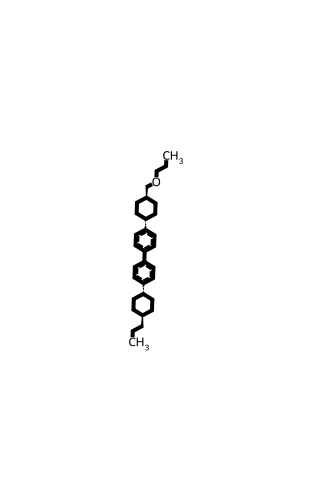 CCCOC[C@H]1CC[C@H](c2ccc(-c3ccc([C@H]4CC[C@H](CCC)CC4)cc3)cc2)CC1